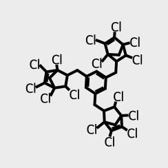 ClC1=C(Cl)C2(Cl)CC1(Cl)C(Cl)C2Cc1cc(CC2C(Cl)C3(Cl)CC2(Cl)C(Cl)=C3Cl)cc(CC2C(Cl)C3(Cl)CC2(Cl)C(Cl)=C3Cl)c1